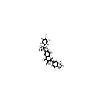 O=c1c(O)c(-c2ccc3c(c2)OCO3)oc2ccc(NS(=O)(=O)c3ccc(F)cc3)cc12